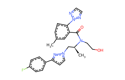 Cc1ccc(-n2nccn2)c(C(=O)N(CCO)[C@@H](C)Cn2ccc(-c3ccc(F)cc3)n2)c1